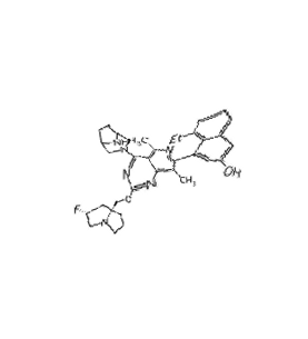 CCc1cccc2cc(O)cc(-c3nc(C)c4c(N5CC6CCC(C5)N6)nc(OC[C@@]56CCCN5C[C@H](F)C6)nc4c3C)c12